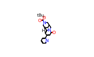 CC(C)(C)OC(=O)N1CC2C[C@@H](C1)c1cc(-c3ccccn3)cc(=O)n1C2